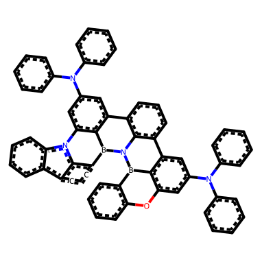 c1ccc(N(c2ccccc2)c2cc3c4c(c2)-c2cccc5c2N(B4c2ccccc2O3)B2c3c-5cc(N(c4ccccc4)c4ccccc4)cc3-n3c4ccccc4c4cccc2c43)cc1